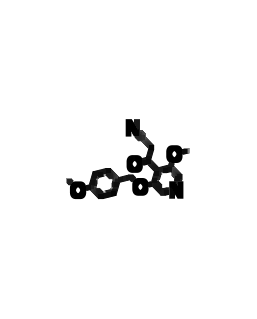 COc1ccc(COc2cncc(OC)c2C(=O)CC#N)cc1